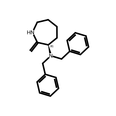 C=C1NCCCC[C@H]1N(Cc1ccccc1)Cc1ccccc1